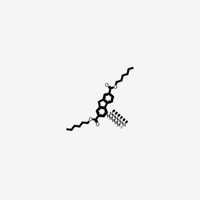 CCCCCCOC(=O)c1ccc2c(c1)Cc1cc(C(=O)OCCCCCC)ccc1-2.CN.CN.CN.CN.CN.CN